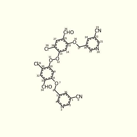 N#Cc1cncc(COc2cc(OOc3cc(OCc4cncc(C#N)c4)c(C=O)cc3Cl)c(Cl)cc2C=O)c1